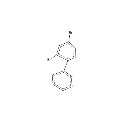 Brc1ccc(-c2cc[c]cn2)c(Br)c1